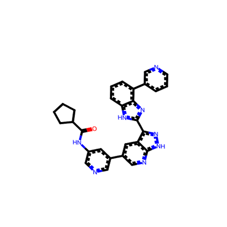 O=C(Nc1cncc(-c2cnc3[nH]nc(-c4nc5c(-c6cccnc6)cccc5[nH]4)c3c2)c1)C1CCCC1